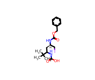 CC(C)(C)C(C[C@H](CI)NC(=O)OCc1ccccc1)NC(=O)O